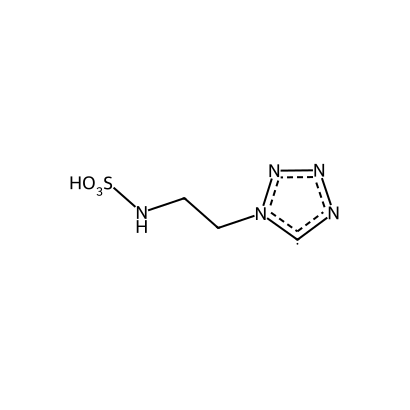 O=S(=O)(O)NCCn1[c]nnn1